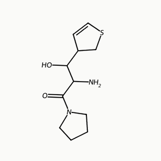 NC(C(=O)N1CCCC1)C(O)C1C=CSC1